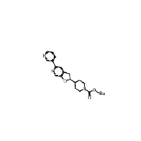 CC(C)(C)OC(=O)N1CCC(C2Cc3cc(-c4cccnc4)ncc3O2)CC1